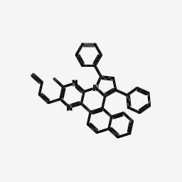 C=C/C=C\c1nc2c3ccc4ccccc4c3c3c(-c4ccccc4)cc(-c4ccccc4)n3c2nc1C